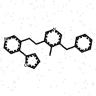 Cc1c(CCc2cnccc2-c2ccco2)cncc1Cc1ccccc1